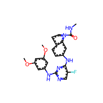 CNC(=O)n1ccc2ccc(Nc3nc(Nc4cc(OC)cc(OC)c4)ncc3F)cc21